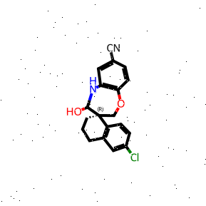 N#Cc1ccc2c(c1)NC(O)[C@@]1(CCCc3cc(Cl)ccc31)CO2